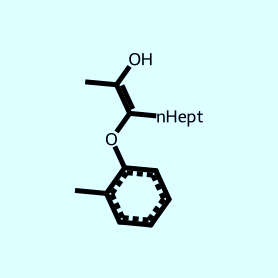 CCCCCCC/C(Oc1ccccc1C)=C(/C)O